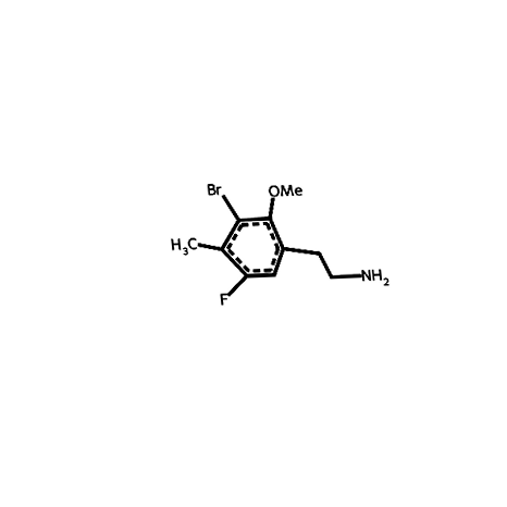 COc1c(CCN)cc(F)c(C)c1Br